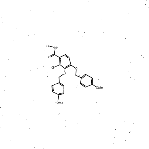 COc1ccc(COc2ccc(C(=O)NC(C)C)c(Cl)c2OCc2ccc(OC)cc2)cc1